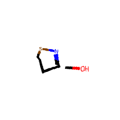 C1=NSCC1.CO